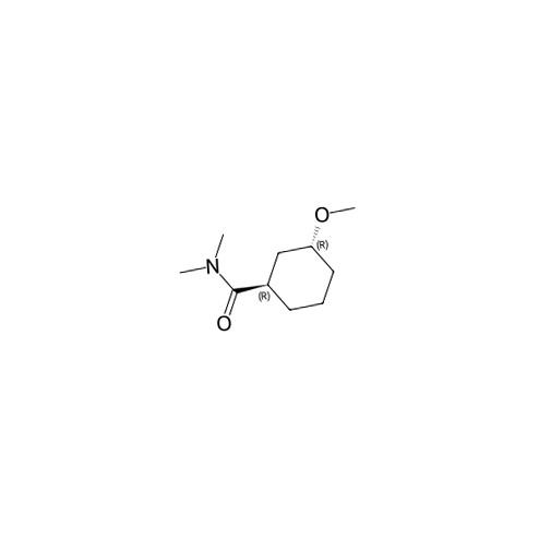 CO[C@@H]1CCC[C@@H](C(=O)N(C)C)C1